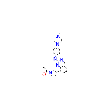 C=CC(=O)N1CCC(c2cccc3cnc(Nc4ccc(N5CCN(C)CC5)cc4)nc23)C1